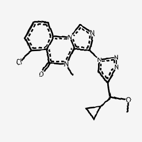 COC(c1cn(-c2ncn3c4cccc(Cl)c4c(=O)n(C)c23)nn1)C1CC1